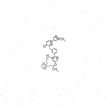 CCCC1(CCC(C)Oc2cnc(-c3cccc(Cc4nn(-c5cnn(C)c5)ccc4=O)c3)nc2)OCCO1